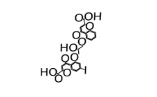 O=C(O)c1cc(=O)c2c(OCC(O)COc3cc(I)cc4oc(C(=O)O)cc(=O)c34)cccc2o1